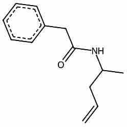 C=CCC(C)NC(=O)Cc1ccccc1